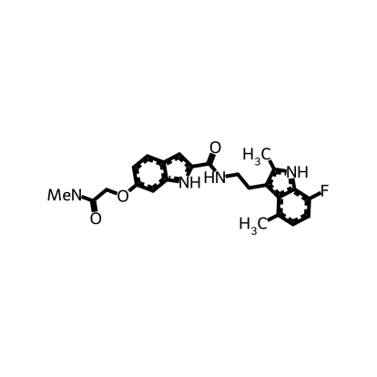 CNC(=O)COc1ccc2cc(C(=O)NCCc3c(C)[nH]c4c(F)ccc(C)c34)[nH]c2c1